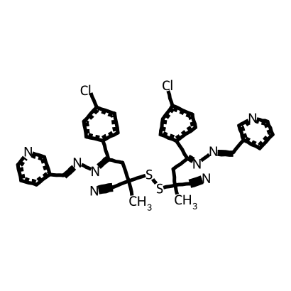 CC(C#N)(CC(=NN=Cc1cccnc1)c1ccc(Cl)cc1)SSC(C)(C#N)CC(=NN=Cc1cccnc1)c1ccc(Cl)cc1